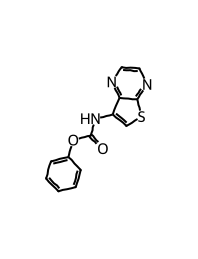 O=C(Nc1csc2nccnc12)Oc1ccccc1